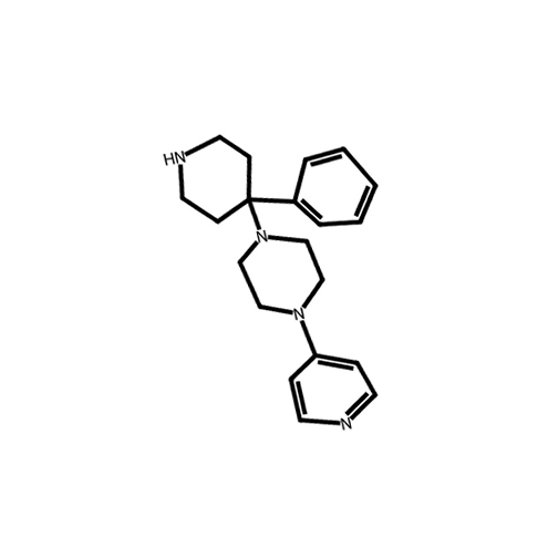 c1ccc(C2(N3CCN(c4ccncc4)CC3)CCNCC2)cc1